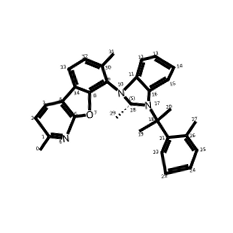 Cc1ccc2c(n1)oc1c(N3c4ccccc4N(C(C)(C)c4ccccc4C)[C@@H]3C)c(C)ccc12